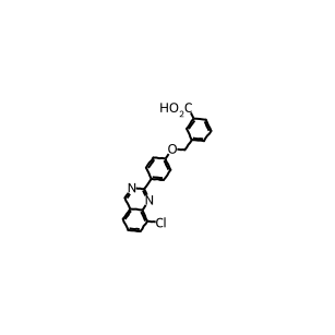 O=C(O)c1cccc(COc2ccc(-c3ncc4cccc(Cl)c4n3)cc2)c1